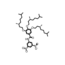 CC(C)CCC[C@H](C)CCOc1cc(C(=O)Nc2cc([N+](=O)[O-])cc([N+](=O)[O-])c2)cc(OCC[C@@H](C)CCCC(C)C)c1OCC[C@@H](C)CCCC(C)C